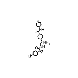 NC(CNC(=O)C1(c2ccc(Cl)cc2)CC1)C1CCC(C(=O)Nc2ccncc2)CC1